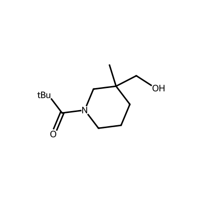 CC1(CO)CCCN(C(=O)C(C)(C)C)C1